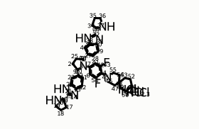 Cl.Cl.Cl.Cl.Fc1cc(N2[C@@H](c3ccc4nc([C@@H]5CCCN5)[nH]c4c3)CC[C@@H]2c2ccc3nc([C@@H]4CCCN4)[nH]c3c2)cc(F)c1N1CCC2(CCCCC2)CC1